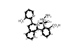 Cc1cccnc1-c1cc2cccnc2c(-c2cccc(C(=O)O)c2S(=O)(=O)NN)n1